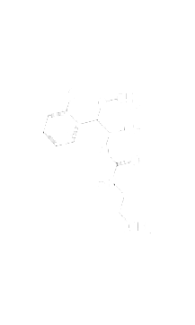 CCCNC(=O)OC(C)C(OC)c1ccccc1Cl